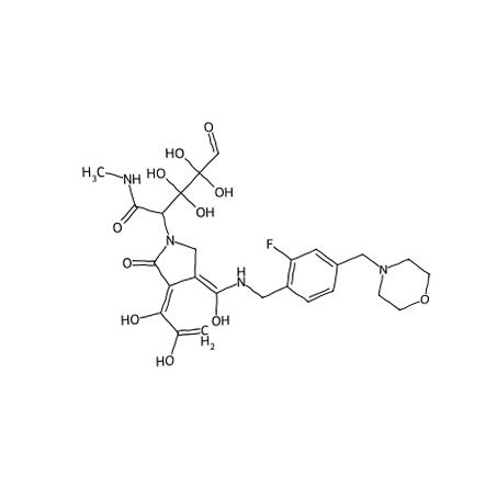 C=C(O)/C(O)=C1/C(=O)N(C(C(=O)NC)C(O)(O)C(O)(O)C=O)C/C1=C(/O)NCc1ccc(CN2CCOCC2)cc1F